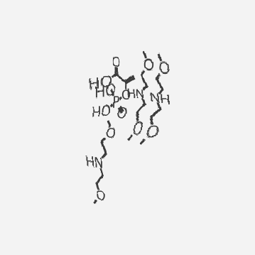 C=C(OP(=O)(O)O)C(=O)O.COCCNCCOC.COCCNCCOC.COCCNCCOC